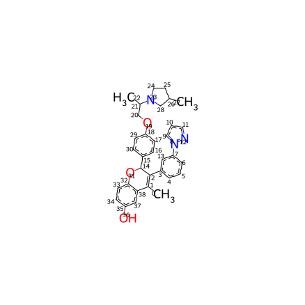 CC1=C(c2cccc(-n3cccn3)c2)C(c2ccc(OCC(C)N3CCC(C)C3)cc2)Oc2ccc(O)cc21